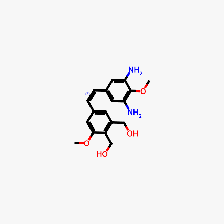 COc1cc(/C=C\c2cc(N)c(OC)c(N)c2)cc(CO)c1CO